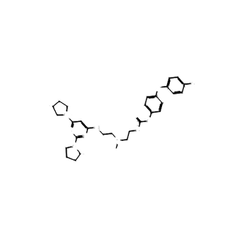 CN(CCNC(=S)Nc1ccc(Oc2ccc([N+](=O)[O-])cc2)cc1)CCNc1cc(N2CCCC2)nc(N2CCCC2)n1